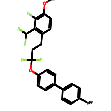 CCCc1ccc(-c2ccc(OC(F)(F)CCc3ccc(OCC)c(F)c3C(F)F)cc2)cc1